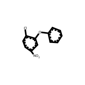 O=[N+]([O-])c1ccc(Cl)c(Oc2ccccc2)c1